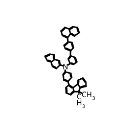 CC1(C)c2ccccc2-c2c(-c3ccc(N(c4cccc(-c5ccc(-c6cccc7ccccc67)cc5)c4)c4ccc5ccccc5c4)cc3)cccc21